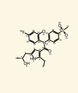 CCc1[nH]c(C[C@H](C)O)cc1C(=O)N(c1ccc(S(C)(=O)=O)cc1)c1ccc(F)cc1Cl